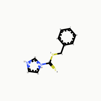 S=C(SCc1ccccc1)n1ccnc1